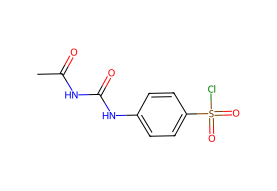 CC(=O)NC(=O)Nc1ccc(S(=O)(=O)Cl)cc1